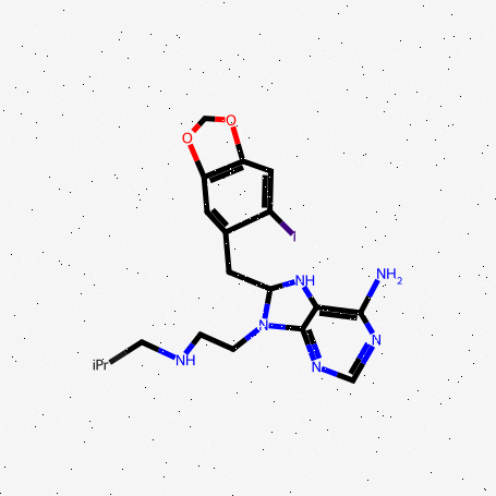 CC(C)CNCCN1c2ncnc(N)c2NC1Cc1cc2c(cc1I)OCO2